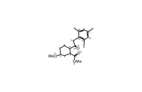 COC(=O)C1CC(OC)CCC1C(=O)Cc1c(C)cc(C)cc1C